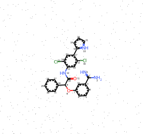 N=C(N)c1cccc(OC(C(=O)Nc2cc(Cl)c(-c3ccc[nH]3)cc2Cl)c2ccccc2)c1